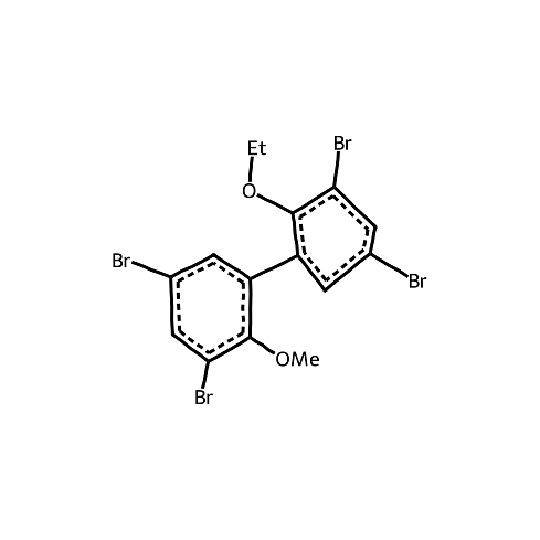 CCOc1c(Br)cc(Br)cc1-c1cc(Br)cc(Br)c1OC